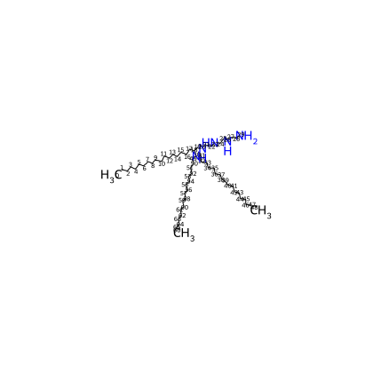 CCCCCCCCCCCCCCCCCCC(CNCCNCCNCCN)N(CCCCCCCCCCCCCCCCCC)CCCCCCCCCCCCCCCCCC